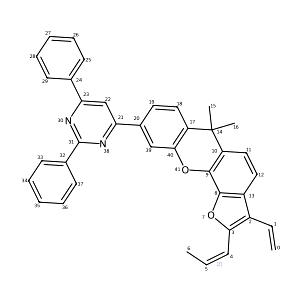 C=Cc1c(/C=C\C)oc2c3c(ccc12)C(C)(C)c1ccc(-c2cc(-c4ccccc4)nc(-c4ccccc4)n2)cc1O3